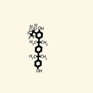 CC(C)(c1ccc(O)cc1)c1ccc(C(C)(C)c2ccc(O)c(C(C)(O)C(F)(F)F)c2)cc1